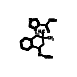 CON=C1CC(C)(C)[C@@H](n2cncc2C(=O)OC)c2ccccc21